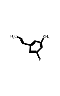 C[C]=Cc1cc(C)cc(F)c1